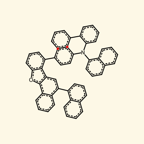 c1ccc(-c2ccccc2N(c2ccc(-c3cccc4oc5c6ccccc6c(-c6cccc7ccccc67)cc5c34)cc2)c2cccc3ccccc23)cc1